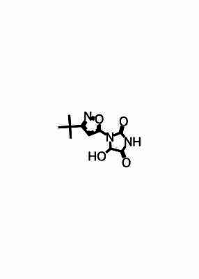 CC(C)(C)c1cc(N2C(=O)NC(=O)C2O)on1